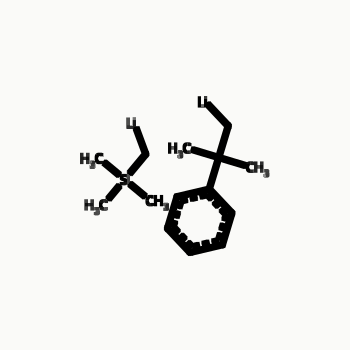 [Li][CH2]C(C)(C)c1ccccc1.[Li][CH2][Si](C)(C)C